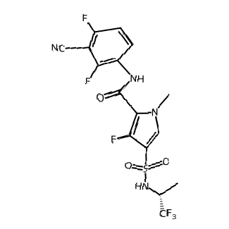 C[C@@H](NS(=O)(=O)c1cn(C)c(C(=O)Nc2ccc(F)c(C#N)c2F)c1F)C(F)(F)F